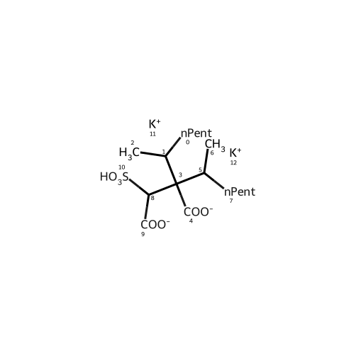 CCCCCC(C)C(C(=O)[O-])(C(C)CCCCC)C(C(=O)[O-])S(=O)(=O)O.[K+].[K+]